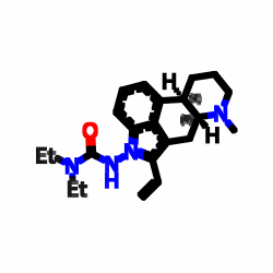 C=Cc1c2c3c(cccc3n1NC(=O)N(CC)CC)[C@H]1CCCN(C)[C@@H]1C2